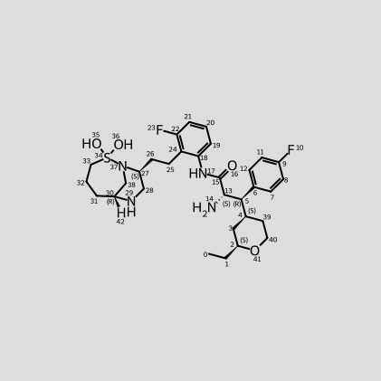 CC[C@H]1C[C@@H]([C@H](c2ccc(F)cc2)[C@H](N)C(=O)Nc2cccc(F)c2CC[C@H]2CN[C@@H]3CCCS(O)(O)N2C3)CCO1